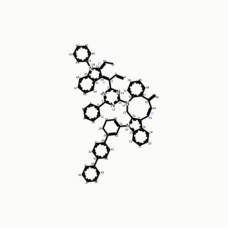 C=C/C(c1nc(-c2ccccc2)nc(N2Cc3c(c4ccccc4n3C3=CCCC(c4ccc(-c5ccccc5)cc4)=C3)/C=C\C(=C)c3ccccc32)n1)=c1\c(=C/C)n(-c2ccccc2)c2ccccc12